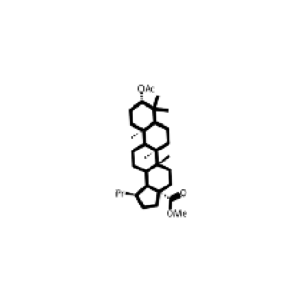 COC(=O)[C@]12CC[C@@H](C(C)C)C1C1CCC3[C@@]4(C)CC[C@H](OC(C)=O)C(C)(C)C4CC[C@@]3(C)[C@]1(C)CC2